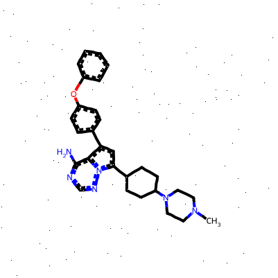 CN1CCN(C2CCC(c3cc(-c4ccc(Oc5ccccc5)cc4)c4c(N)ncnn34)CC2)CC1